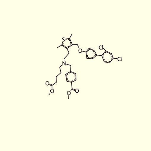 COC(=O)CCCCN(CCc1c(C)sc(C)c1COc1ccc(-c2ccc(Cl)cc2Cl)cc1)Cc1ccc(C(=O)OC)cc1